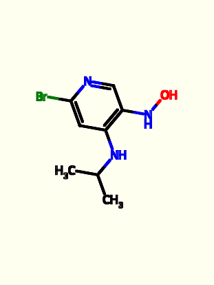 CC(C)Nc1cc(Br)ncc1NO